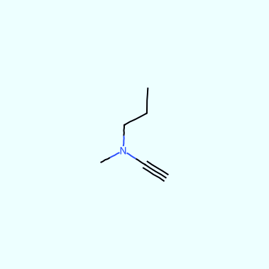 C#CN(C)CCC